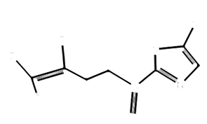 C=S(CCC(F)=C(F)F)c1ncc(Cl)s1